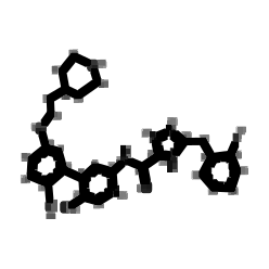 O=C(Nc1cc(-c2cc(OCCC3CCOCC3)ccc2Cl)c(Cl)cn1)c1nnc(Cc2ccccc2F)[nH]1